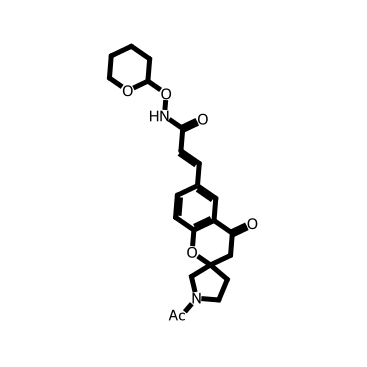 CC(=O)N1CCC2(CC(=O)c3cc(/C=C/C(=O)NOC4CCCCO4)ccc3O2)C1